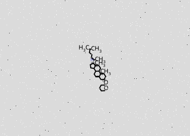 C/C(=C\CCC(C)C)[C@H]1CCC2C3CC=C4C[C@@H](OC5CCCCO5)CC[C@]4(C)C3CC[C@@]21C